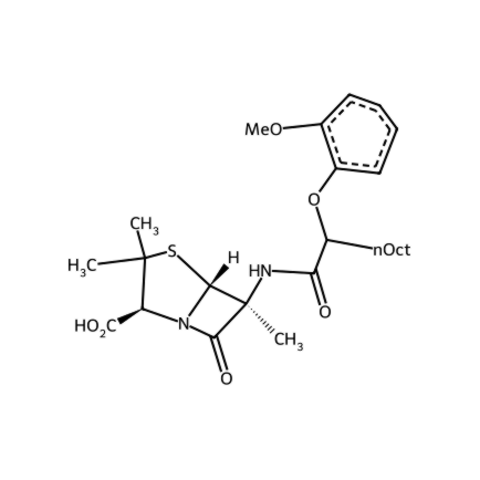 CCCCCCCCC(Oc1ccccc1OC)C(=O)N[C@@]1(C)C(=O)N2[C@@H](C(=O)O)C(C)(C)S[C@@H]21